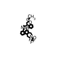 CCOC(=O)CC(C1=CN=C(c2ccccc2)[N+]1([O-])c1ccc2c(c1)CCN(C(=O)C(F)(F)F)CC2)c1ccccc1